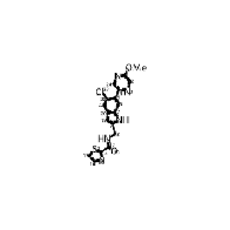 COc1cnc(-c2cc3[nH]c(CNC(=O)c4nccs4)cc3cc2Cl)cn1